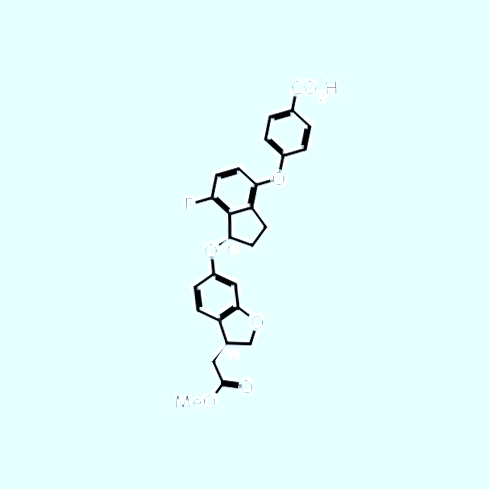 COC(=O)C[C@@H]1COc2cc(O[C@@H]3CCc4c(Oc5ccc(C(=O)O)cc5)ccc(F)c43)ccc21